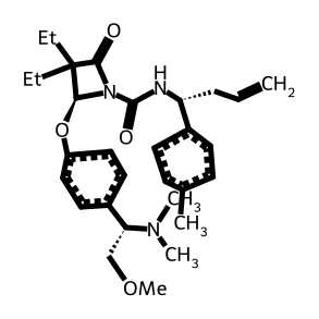 C=CC[C@@H](NC(=O)N1C(=O)C(CC)(CC)[C@@H]1Oc1ccc([C@@H](COC)N(C)C)cc1)c1ccc(C)cc1